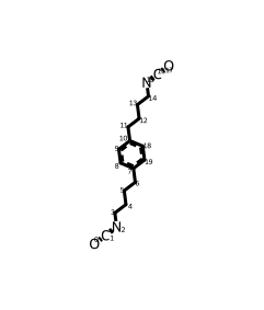 O=C=NCCCCc1ccc(CCCCN=C=O)cc1